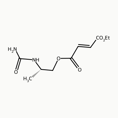 CCOC(=O)/C=C/C(=O)OC[C@H](C)NC(N)=O